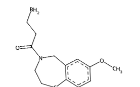 BCCC(=O)N1CCSc2ccc(OC)cc2C1